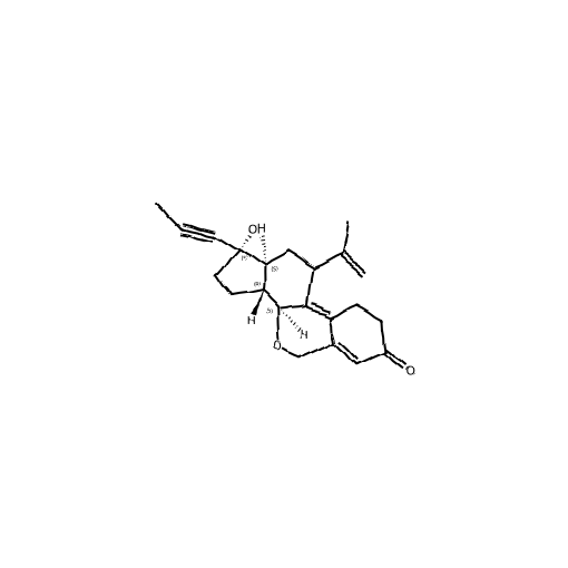 C=C(C)C1C[C@@]2(C)[C@@H](CC[C@@]2(O)C#CC)[C@@H]2OCC3=CC(=O)CCC3=C12